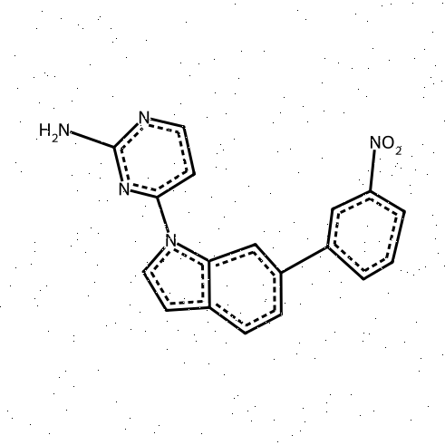 Nc1nccc(-n2ccc3ccc(-c4cccc([N+](=O)[O-])c4)cc32)n1